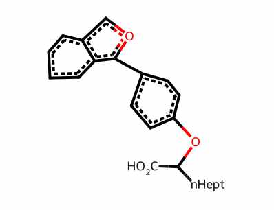 CCCCCCCC(Oc1ccc(-c2occ3ccccc23)cc1)C(=O)O